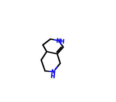 C1=C2CNCCC2CCN1